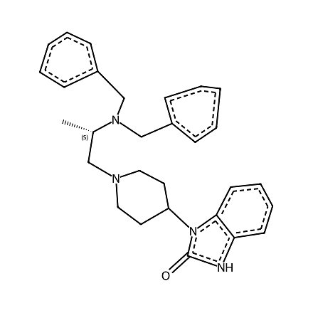 C[C@@H](CN1CCC(n2c(=O)[nH]c3ccccc32)CC1)N(Cc1ccccc1)Cc1ccccc1